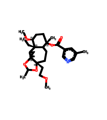 CC[C@@]12C(CC[C@]3(CCOC)OC(C)O[C@@]34CCCC14)[C@@](C)(OC(=O)c1cncc(C)c1)CC[C@@H]2OC